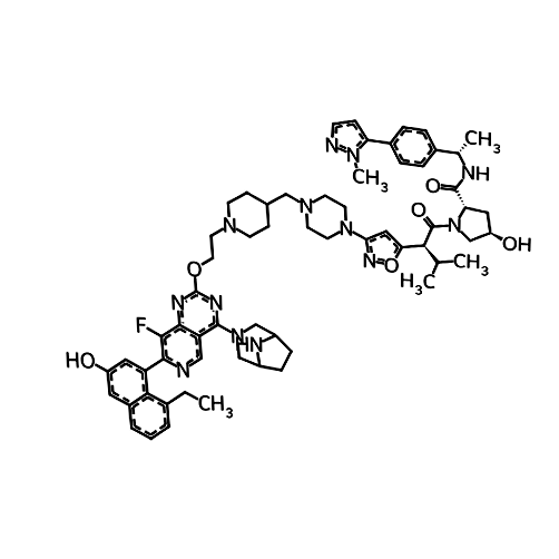 CCc1cccc2cc(O)cc(-c3ncc4c(N5CC6CCC(C5)N6)nc(OCCN5CCC(CN6CCN(c7cc([C@@H](C(=O)N8C[C@H](O)C[C@H]8C(=O)N[C@@H](C)c8ccc(-c9ccnn9C)cc8)C(C)C)on7)CC6)CC5)nc4c3F)c12